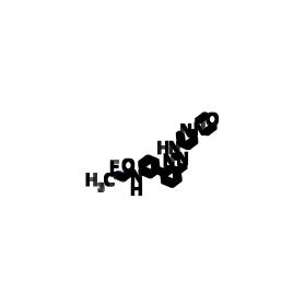 C/C(F)=C/C(=O)Nc1cccc(-c2cccc3cnc(Nc4ccc(N5CCOCC5)nc4)nc23)c1